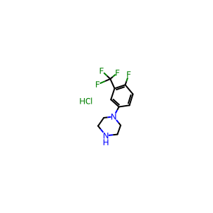 Cl.Fc1ccc(N2CCNCC2)cc1C(F)(F)F